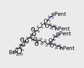 CCCCC/C=C/COC(CCCCC(=O)OCC(COC(=O)CCCCC(OC/C=C/CCCCC)OC/C=C/CCCCC)COC(=O)OCC1CCCN(CC)C1)OC/C=C/CCCCC